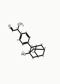 CC(C=O)c1ccc(C2C3CC4CC(C3)CC2(O)C4)cc1